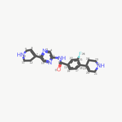 O=C(Nc1cnc(C2=CCNCC2)cn1)c1ccc(C2=CCNCC2)c(F)c1